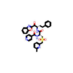 Cc1cccc(CS(=O)(=O)C[C@H](NC(=O)c2ccncc2)C(=O)N[C@@H](CCc2ccccc2)C(=O)c2nc3ccccc3o2)n1